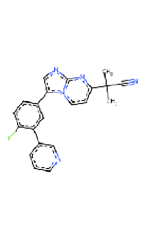 CC(C)(C#N)c1ccn2c(-c3ccc(F)c(-c4cccnc4)c3)cnc2n1